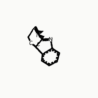 C1=CC2=CC3=Nc4ccccc4C3(CC=N1)CC2